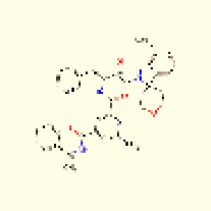 COc1cccc(C2(NC[C@@H](O)[C@H](Cc3ccccc3)NC(=O)c3cc(C)cc(C(=O)N[C@H](C)c4ccccc4)c3)CCOCC2)c1